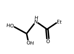 CCC(=O)NC(O)O